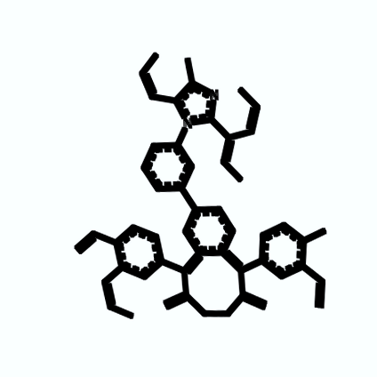 C=Cc1cc(/C2=c3\ccc(-c4cccc(-n5c(C(/C=C\C)=C/C)nc(C)c5/C=C\C)c4)c\c3=C(/c3ccc(C=C)c(/C=C\C)c3)C(=C)CCC2=C)ccc1C